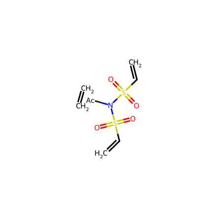 C=C.C=CS(=O)(=O)N(C(C)=O)S(=O)(=O)C=C